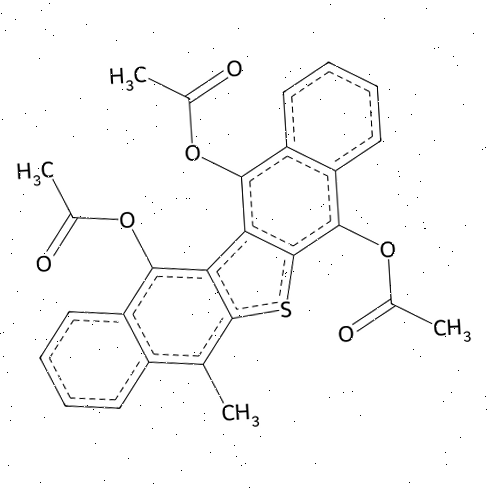 CC(=O)Oc1c2ccccc2c(OC(C)=O)c2c1sc1c(C)c3ccccc3c(OC(C)=O)c12